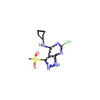 CS(=O)(=O)c1n[nH]c2nc(Cl)nc(NC3CC3)c12